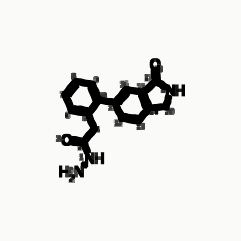 NNC(=O)Cc1ccccc1-c1ccc2c(c1)C(=O)NC2